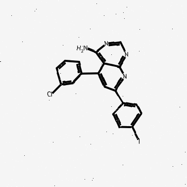 Nc1ncnc2nc(-c3ccc(I)cc3)cc(-c3cccc(Cl)c3)c12